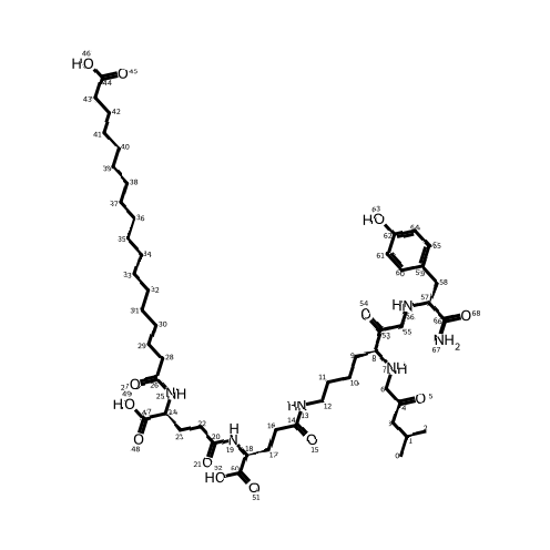 CC(C)CC(=O)CN[C@@H](CCCCNC(=O)CC[C@H](NC(=O)CC[C@H](NC(=O)CCCCCCCCCCCCCCCCC(=O)O)C(=O)O)C(=O)O)C(=O)CN[C@@H](Cc1ccc(O)cc1)C(N)=O